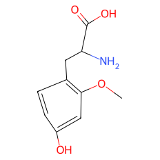 COc1cc(O)ccc1CC(N)C(=O)O